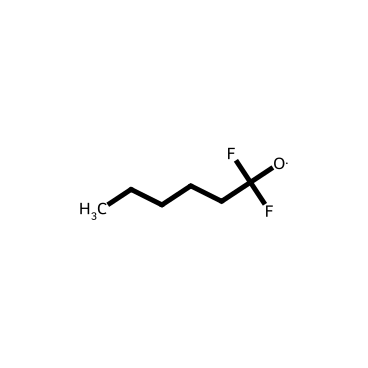 CCCCCC([O])(F)F